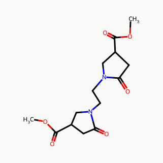 COC(=O)C1CC(=O)N(CCN2CC(C(=O)OC)CC2=O)C1